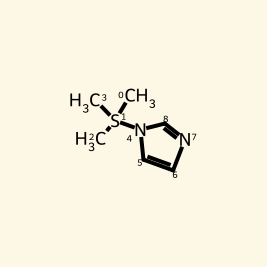 CS(C)(C)n1ccnc1